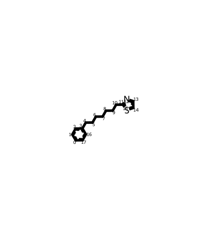 c1ccc(CCCCCCCc2nccs2)cc1